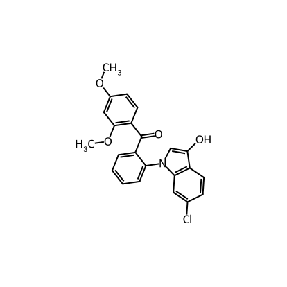 COc1ccc(C(=O)c2ccccc2-n2cc(O)c3ccc(Cl)cc32)c(OC)c1